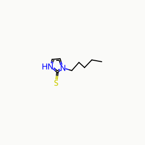 CCCCCn1cc[nH]c1=S